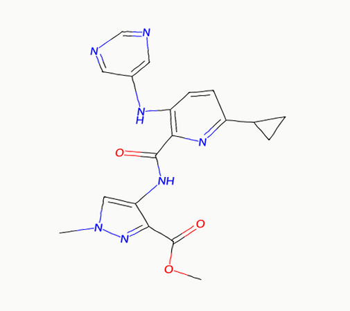 COC(=O)c1nn(C)cc1NC(=O)c1nc(C2CC2)ccc1Nc1cncnc1